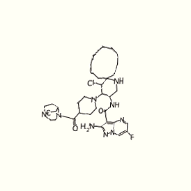 Nc1nn2cc(F)cnc2c1C(=O)NC1CNC2(CCCCCCCCC2)C(Cl)C1N1CCC(C(=O)N2CCN3CCC2CC3)CC1